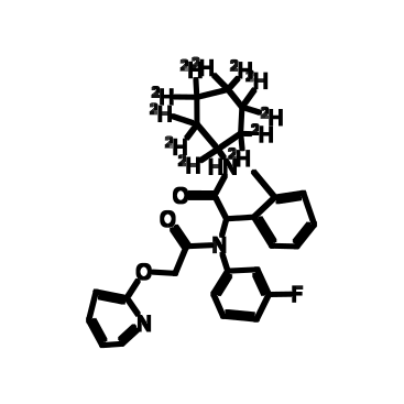 [2H]C1([2H])C([2H])([2H])C([2H])([2H])C([2H])(NC(=O)C(c2ccccc2C)N(C(=O)COc2ccccn2)c2cccc(F)c2)C([2H])([2H])C1([2H])[2H]